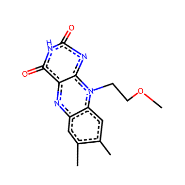 COCCn1c2nc(=O)[nH]c(=O)c-2nc2cc(C)c(C)cc21